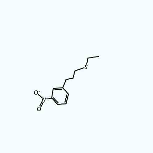 CCSCCCc1cccc([N+](=O)[O-])c1